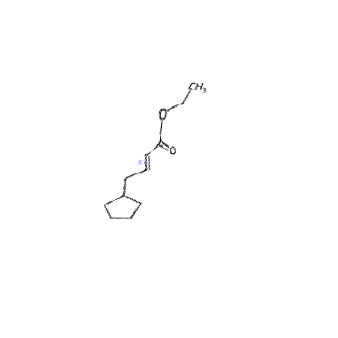 CCOC(=O)/C=C/CC1CCCC1